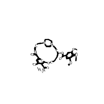 COc1cc(C(=O)O[C@H]2CCCOc3cc(cc(Cl)c3C(N)=O)C(=O)NCCCN3CCCN(CC2)CC3)cc(OC)c1OC